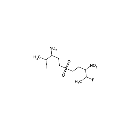 CC(F)C(CCS(=O)(=O)CCC(C(C)F)[N+](=O)[O-])[N+](=O)[O-]